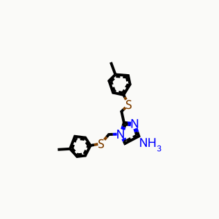 Cc1ccc(SCc2nccn2CSc2ccc(C)cc2)cc1.N